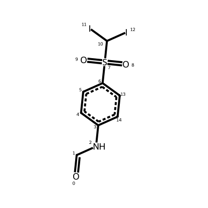 O=CNc1ccc(S(=O)(=O)C(I)I)cc1